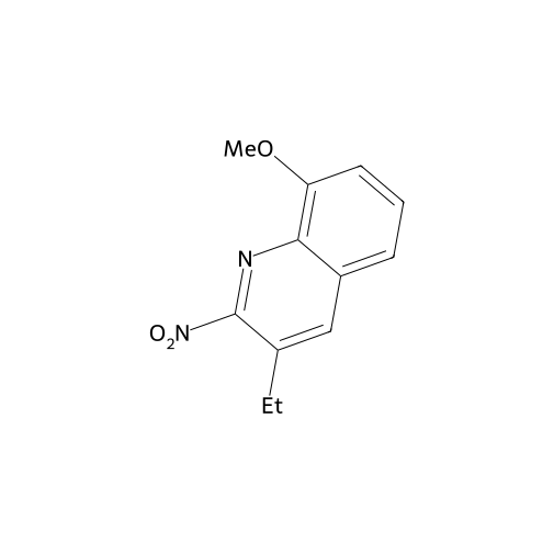 CCc1cc2cccc(OC)c2nc1[N+](=O)[O-]